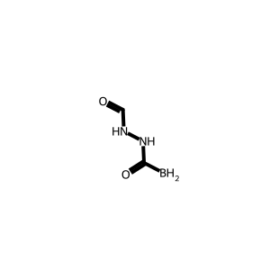 BC(=O)NNC=O